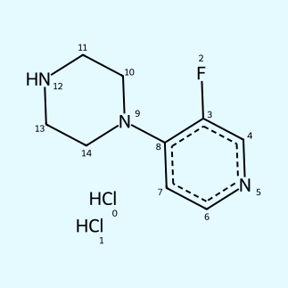 Cl.Cl.Fc1cnccc1N1CCNCC1